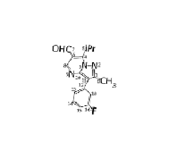 Cc1nn2c(C(C)C)c(C=O)cnc2c1-c1cccc(F)c1